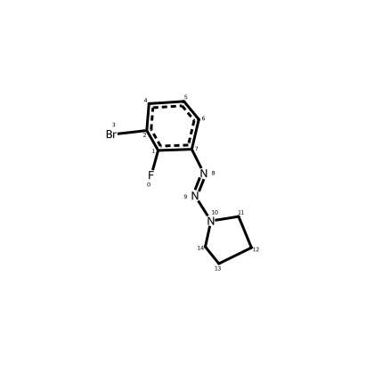 Fc1c(Br)cccc1N=NN1CCCC1